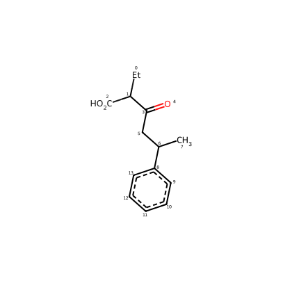 CCC(C(=O)O)C(=O)CC(C)c1ccccc1